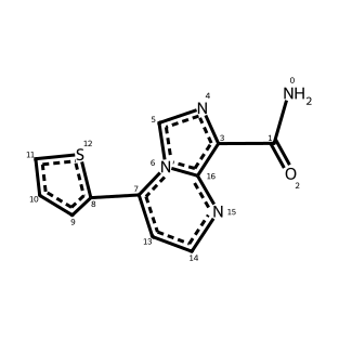 NC(=O)c1ncn2c(-c3cccs3)ccnc12